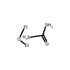 CCOCC.O=C([SiH3])[SiH3]